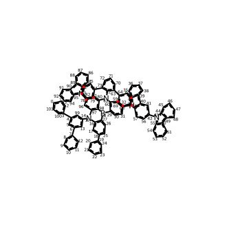 c1ccc(-c2cc(-c3ccccc3)cc(N3c4cc(-c5ccccc5)ccc4B4c5ccc(-n6c7ccccc7c7cc(-n8c9ccccc9c9ccccc98)ccc76)cc5N(c5c(-c6ccccc6)cccc5-c5ccccc5)c5cc(-n6c7ccccc7c7ccccc76)cc3c54)c2)cc1